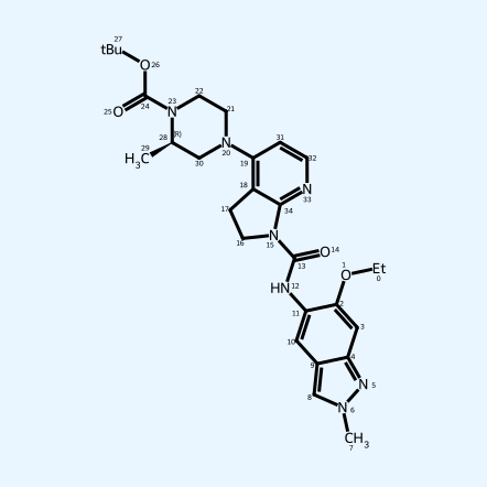 CCOc1cc2nn(C)cc2cc1NC(=O)N1CCc2c(N3CCN(C(=O)OC(C)(C)C)[C@H](C)C3)ccnc21